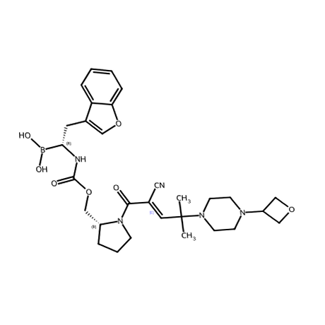 CC(C)(/C=C(\C#N)C(=O)N1CCC[C@@H]1COC(=O)N[C@@H](Cc1coc2ccccc12)B(O)O)N1CCN(C2COC2)CC1